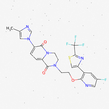 Cc1cn(-c2ccc3n(c2=O)CCN(CCOc2ncc(F)cc2-c2csc(C(F)(F)F)n2)C3=O)cn1